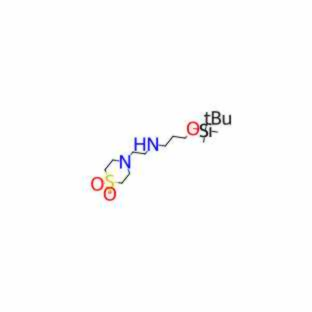 CC(C)(C)[Si](C)(C)OCCCNCCN1CCS(=O)(=O)CC1